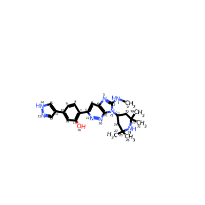 CNc1nc2cc(-c3ccc(-c4cn[nH]c4)cc3O)nnc2n1C1CC(C)(C)NC(C)(C)C1